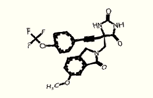 COc1ccc2c(c1)C(=O)N(C[C@@]1(C#Cc3ccc(OC(F)(F)F)cc3)NC(=O)NC1=O)C2